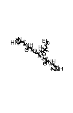 CCOCCC(C)(C)C(=O)NC(COCCC(=O)NCCc1c[nH]cn1)COCCC(=O)NCCc1c[nH]cn1